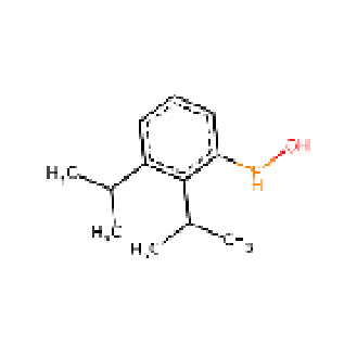 CC(C)c1cccc(PO)c1C(C)C